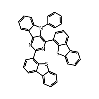 c1ccc(-n2c3ccccc3c3nc(-c4cccc5c4sc4ccccc45)nc(-c4cccc5c4sc4ccccc45)c32)cc1